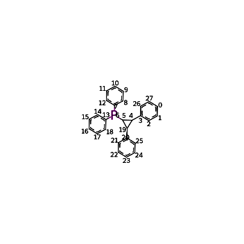 c1ccc(C2C(P(c3ccccc3)c3ccccc3)[C@@H]2c2ccccc2)cc1